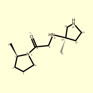 C[C@@H]1CCCN1C(=O)CN[C@]1(C)CCNC1